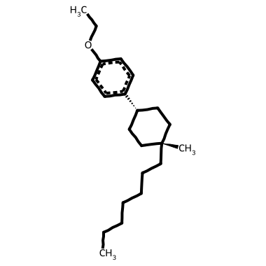 CCCCCCC[C@]1(C)CC[C@H](c2ccc(OCC)cc2)CC1